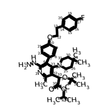 Cc1nc(NN)c(-c2ccc(OCCc3ccc(F)cc3)cc2)c(N2CCC(C)(C)CC2)c1[C@H](OC(C)(C)C)C(=O)OC(C)C